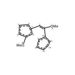 COC(=Cc1cccc(OC)c1)c1ccccc1